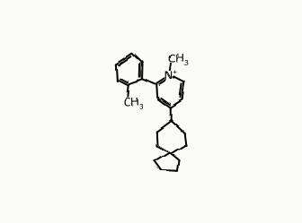 Cc1ccccc1-c1cc(C2CCC3(CCCC3)CC2)cc[n+]1C